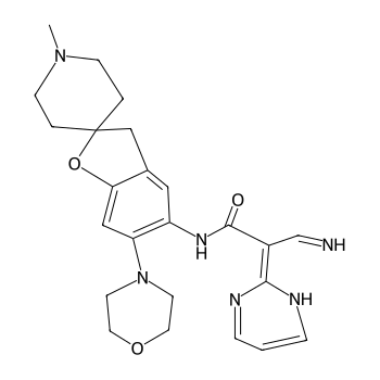 CN1CCC2(CC1)Cc1cc(NC(=O)/C(C=N)=C3\N=CC=CN3)c(N3CCOCC3)cc1O2